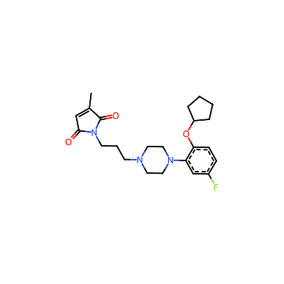 CC1=CC(=O)N(CCCN2CCN(c3cc(F)ccc3OC3CCCC3)CC2)C1=O